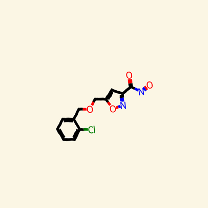 O=NC(=O)c1cc(COCc2ccccc2Cl)on1